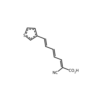 N#C\C(=C/C=C/C=C/c1ccsc1)C(=O)O